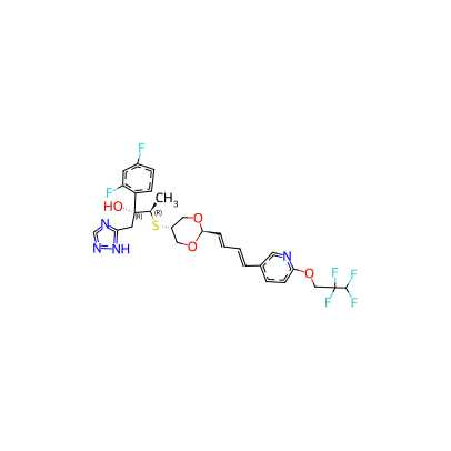 C[C@@H](S[C@H]1CO[C@H](C=CC=Cc2ccc(OCC(F)(F)C(F)F)nc2)OC1)[C@@](O)(Cc1ncn[nH]1)c1ccc(F)cc1F